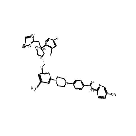 Cc1cc(OC[C@@H]2CO[C@](Cc3nc[nH]n3)(c3ccc(F)cc3F)C2)cc(N2CCN(c3ccc(C(=O)Nc4ccc(C#N)cn4)cc3)CC2)c1